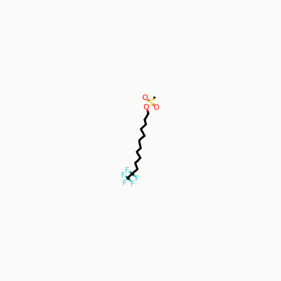 CS(=O)(=O)OCCCCCCCCCCCC(F)(F)C(F)(F)F